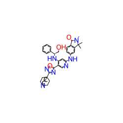 CN1C(=O)c2ccc(Nc3cc(N[C@H](CO)c4ccccc4)c(-c4nc(C56CCN(CC5)CC6)no4)cn3)cc2C1(C)C